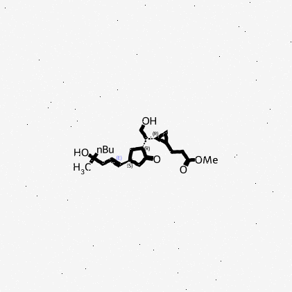 CCCCC(C)(O)C/C=C/[C@@H]1CC(=O)[C@@H](C(CO)[C@@H]2CC2CCC(=O)OC)C1